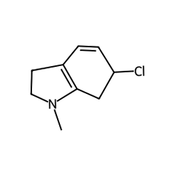 CN1CCC2=C1CC(Cl)C=C2